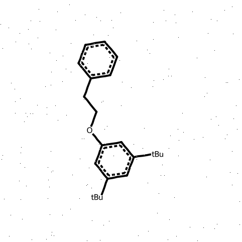 CC(C)(C)c1cc(OCCc2ccccc2)cc(C(C)(C)C)c1